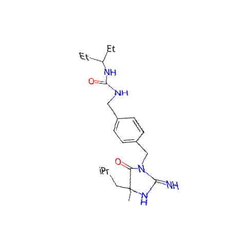 CCC(CC)NC(=O)NCc1ccc(CN2C(=N)NC(C)(CC(C)C)C2=O)cc1